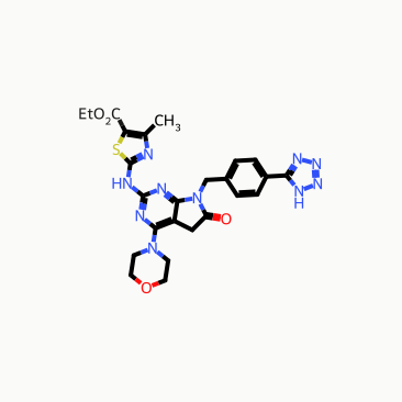 CCOC(=O)c1sc(Nc2nc(N3CCOCC3)c3c(n2)N(Cc2ccc(-c4nnn[nH]4)cc2)C(=O)C3)nc1C